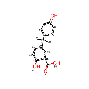 CC(C)(c1ccc(O)cc1)c1ccc(O)c(C(=O)O)c1